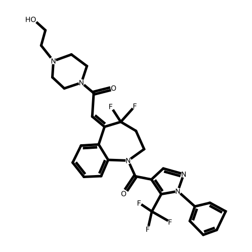 O=C(C=C1c2ccccc2N(C(=O)c2cnn(-c3ccccc3)c2C(F)(F)F)CCC1(F)F)N1CCN(CCO)CC1